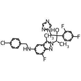 Cc1c2cc(NCc3ccc(Cl)cc3)cc(F)c2nn1[C@H](C)[C@](O)(Cn1cncn1)c1ccc(F)cc1F